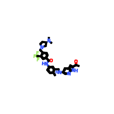 CC(=O)c1cc2cc(NCc3cc(NC(=O)c4ccc(CN5CC[C@H](N(C)C)C5)c(C(F)(F)F)c4)ccc3C)cnc2[nH]1